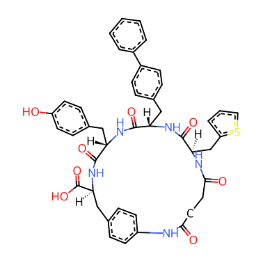 O=C1CCC(=O)N[C@H](Cc2cccs2)C(=O)N[C@@H](Cc2ccc(-c3ccccc3)cc2)C(=O)N[C@@H](Cc2ccc(O)cc2)C(=O)N[C@H](C(=O)O)Cc2ccc(cc2)N1